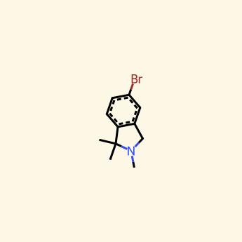 CN1Cc2cc(Br)ccc2C1(C)C